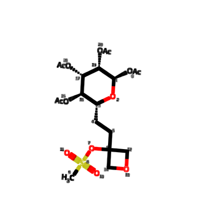 CC(=O)O[C@H]1O[C@H](CCC2(OS(C)(=O)=O)COC2)[C@@H](OC(C)=O)[C@H](OC(C)=O)[C@@H]1OC(C)=O